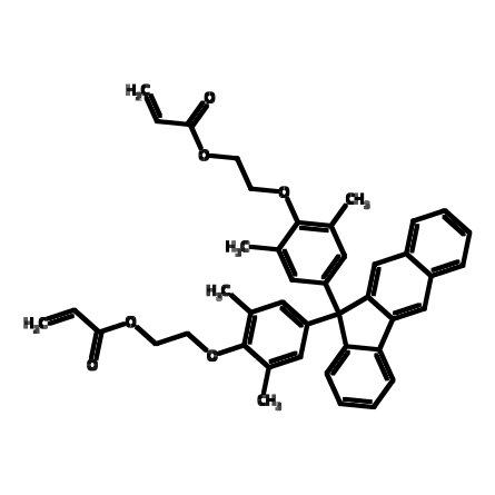 C=CC(=O)OCCOc1c(C)cc(C2(c3cc(C)c(OCCOC(=O)C=C)c(C)c3)c3ccccc3-c3cc4ccccc4cc32)cc1C